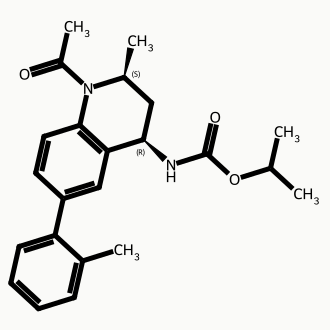 CC(=O)N1c2ccc(-c3ccccc3C)cc2[C@H](NC(=O)OC(C)C)C[C@@H]1C